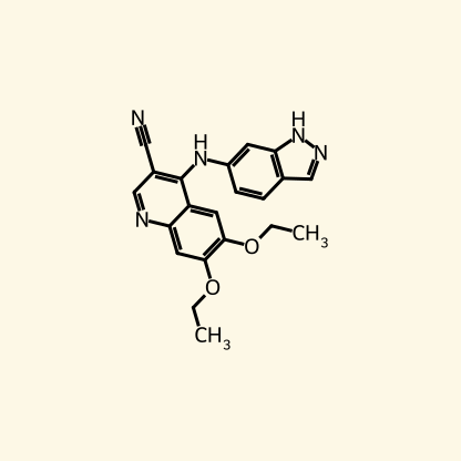 CCOc1cc2ncc(C#N)c(Nc3ccc4cn[nH]c4c3)c2cc1OCC